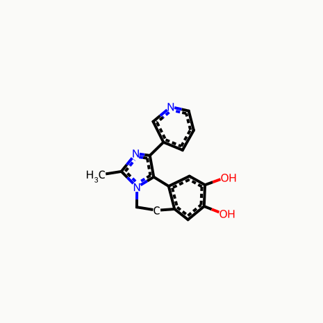 Cc1nc(-c2cccnc2)c2n1CCc1cc(O)c(O)cc1-2